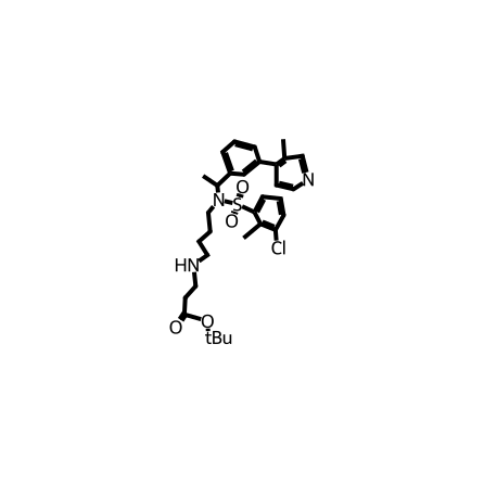 Cc1cnccc1-c1cccc(C(C)N(CCCCNCCC(=O)OC(C)(C)C)S(=O)(=O)c2cccc(Cl)c2C)c1